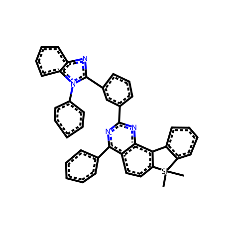 C[Si]1(C)c2ccccc2-c2c1ccc1c(-c3ccccc3)nc(-c3cccc(-c4nc5ccccc5n4-c4ccccc4)c3)nc21